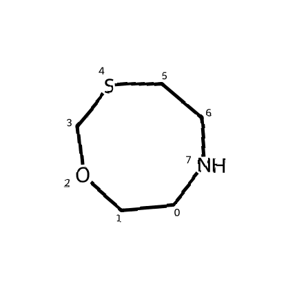 C1COCSCCN1